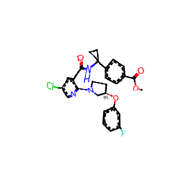 COC(=O)c1ccc(C2(NC(=O)c3cc(Cl)cnc3N3CC[C@@H](Oc4cccc(F)c4)C3)CC2)cc1